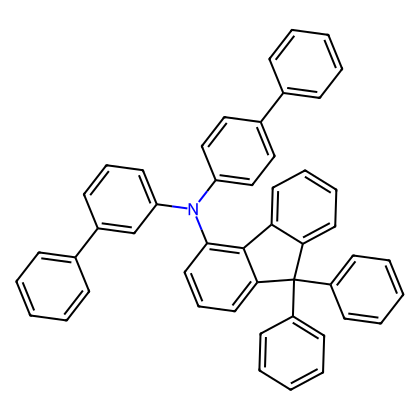 c1ccc(-c2ccc(N(c3cccc(-c4ccccc4)c3)c3cccc4c3-c3ccccc3C4(c3ccccc3)c3ccccc3)cc2)cc1